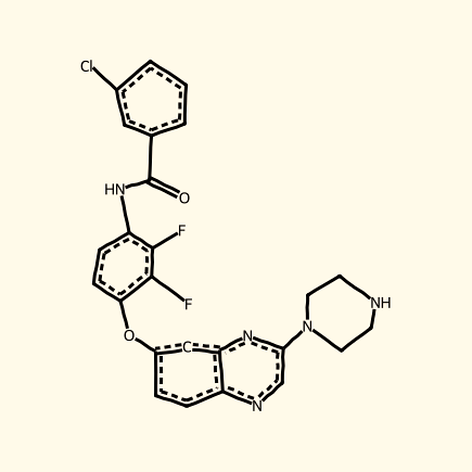 O=C(Nc1ccc(Oc2ccc3ncc(N4CCNCC4)nc3c2)c(F)c1F)c1cccc(Cl)c1